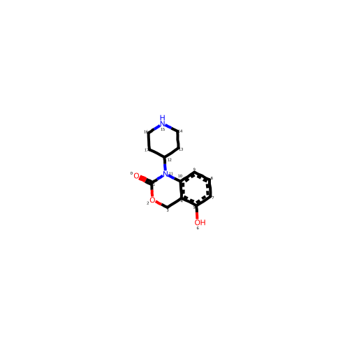 O=C1OCc2c(O)cccc2N1C1CCNCC1